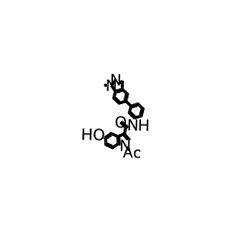 CC(=O)n1cc(C(=O)Nc2cccc(-c3ccc4c(cnn4C)c3)c2)c2cc(O)ccc21